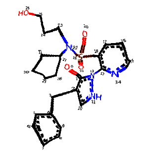 O=c1c(Cc2ccccc2)c[nH]n1-c1ncccc1S(=O)(=O)N(CCCO)C1CCCC1